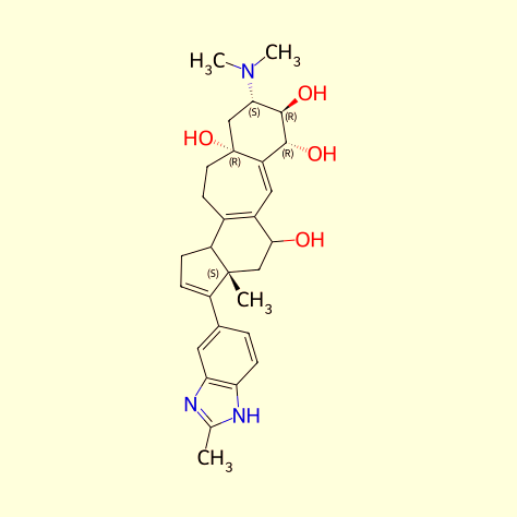 Cc1nc2cc(C3=CCC4C5=C(C=C6[C@@H](O)[C@H](O)[C@@H](N(C)C)C[C@]6(O)CC5)C(O)C[C@]34C)ccc2[nH]1